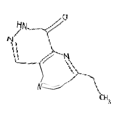 CCc1cnc2cn[nH]c(=O)c2n1